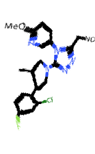 COc1ccc(-n2c(CN=O)nnc2N2CC(c3ccc(F)cc3Cl)[C@@H](C)C2)cn1